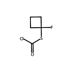 O=C(Cl)SC1(F)CCC1